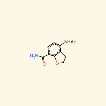 CC(=O)Nc1ccc(C(N)=O)c2c1CCO2